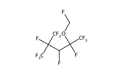 FCOC(F)(C(F)C(F)(C(F)(F)F)C(F)(F)F)C(F)(F)F